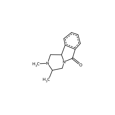 CC1CN2C(=O)c3ccccc3C2CN1C